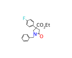 CCOC(=O)C1(c2ccc(F)cc2)CC(=O)N(Cc2ccccc2)C1